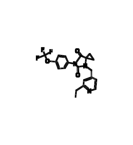 CCc1cc(CN2C(=O)N(c3ccc(OC(F)(F)F)cc3)C(=O)C23CC3)ccn1